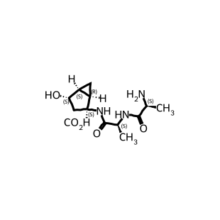 C[C@H](N)C(=O)N[C@@H](C)C(=O)N[C@@]1(C(=O)O)C[C@H](O)[C@H]2C[C@H]21